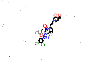 C[C@H]1C(=O)N2[C@@H](CCCN3CCC4(CC4)[C@H](O)C3)CC[C@H]2CN1C(=O)Nc1ccc(Cl)c(Cl)c1